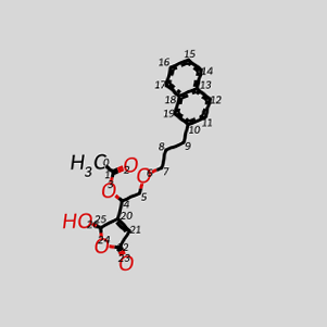 CC(=O)OC(COCCCc1ccc2ccccc2c1)C1=CC(=O)OC1O